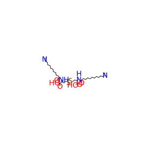 CN(C)CCCCCCCCCCC(=O)NC(CCSSCCC(NC(=O)CCCCCCCCCCN(C)C)C(=O)O)C(=O)O